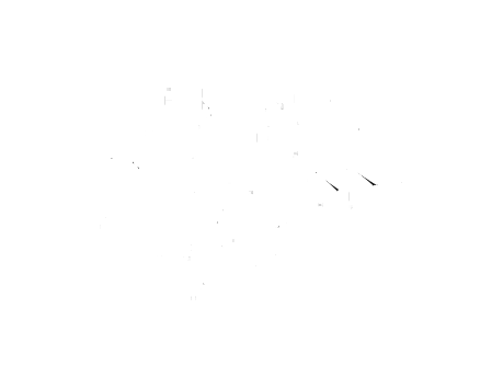 C=C(C)[C@@H]1CC[C@@H](C)[C@]2(O)C([C@H]3[C@@H](C(=O)O)N[C@@H]4ON(C)c5c(Cl)cccc5[C@@]43O)[C@@H](OC(=O)COC(C)=O)C(C)=C[C@@H]12